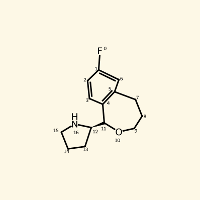 Fc1ccc2c(c1)CCCOC2[C@H]1CCCN1